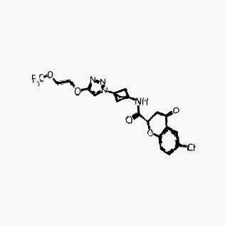 O=C1C[C@H](C(=O)NC23CC(n4cc(OCCOC(F)(F)F)nn4)(C2)C3)Oc2ccc(Cl)cc21